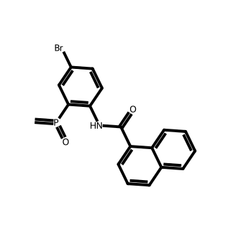 C=P(=O)c1cc(Br)ccc1NC(=O)c1cccc2ccccc12